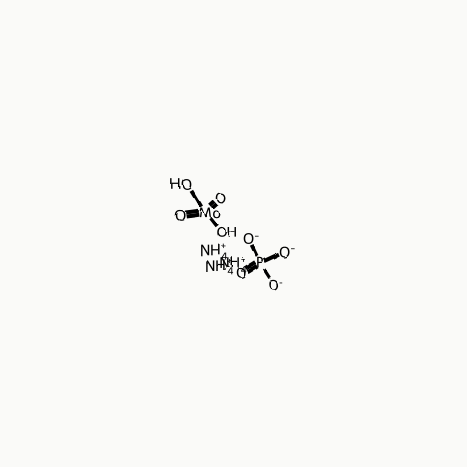 O=P([O-])([O-])[O-].[NH4+].[NH4+].[NH4+].[O]=[Mo](=[O])([OH])[OH]